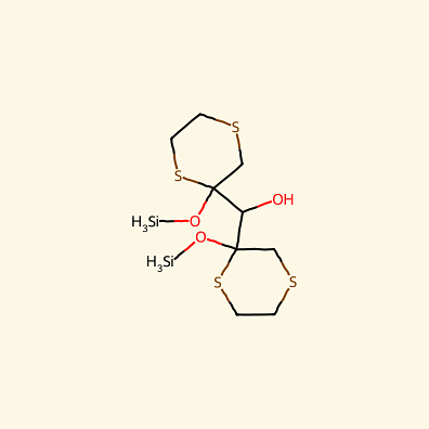 OC(C1(O[SiH3])CSCCS1)C1(O[SiH3])CSCCS1